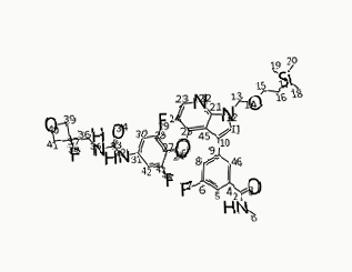 CNC(=O)c1cc(F)cc(-c2cn(COCC[Si](C)(C)C)c3nccc(Oc4c(F)cc(NC(=O)NCC5(F)COC5)cc4F)c23)c1